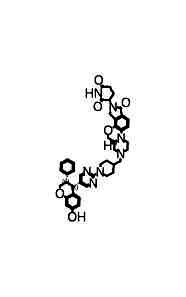 O=C1CCC(N2Cc3c(ccc4c3OC[C@H]3CN(CC5CCN(c6ncc([C@@H]7c8ccc(O)cc8OC[C@@H]7c7ccccc7)cn6)CC5)CCN43)C2=O)C(=O)N1